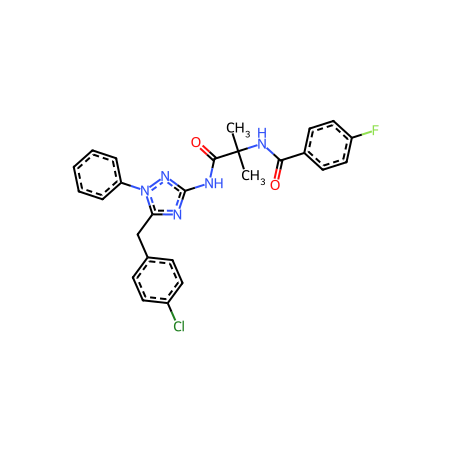 CC(C)(NC(=O)c1ccc(F)cc1)C(=O)Nc1nc(Cc2ccc(Cl)cc2)n(-c2ccccc2)n1